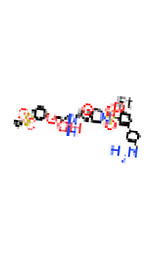 CCOc1ccc(-c2ccc(CN)cc2)cc1S(=O)(=O)N1CCC2(CC1)C[C@@H](NCC(O)COc1cccc(S(=O)(=O)C3CC3)c1)CO2